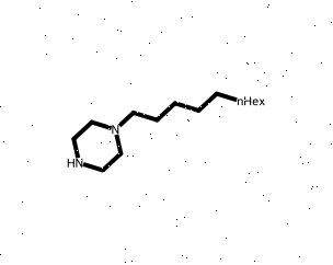 CCCCCCCCCCCN1CCNCC1